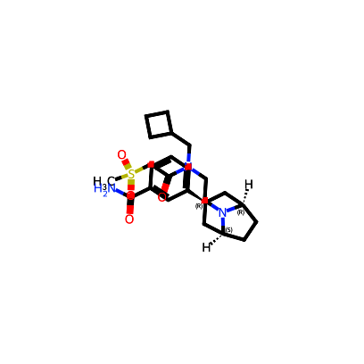 CS(=O)(=O)CC(=O)N(CCN1[C@@H]2CC[C@H]1C[C@@H](c1cccc(C(N)=O)c1)C2)CC1CCC1